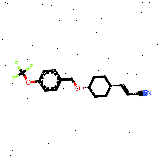 N#CC=C[C@H]1CC[C@H](OCc2ccc(OC(F)(F)F)cc2)CC1